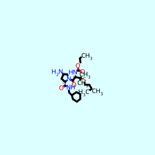 CCCOC(=O)N[C@@H](C(=O)N1C[C@H](N)C[C@H]1C(=O)NCC1CCCCC1)C(C)(C)SCCC(C)C